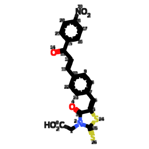 O=C(O)CN1C(=O)/C(=C\c2ccc(/C=C/C(=O)c3ccc([N+](=O)[O-])cc3)cc2)SC1=S